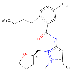 COCCCc1ccc(C(F)(F)F)cc1C(=O)N=c1cc(C(C)(C)C)n(C)n1C[C@H]1CCCO1